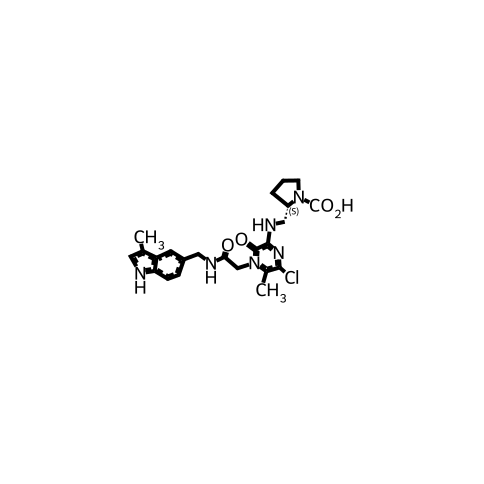 Cc1c[nH]c2ccc(CNC(=O)Cn3c(C)c(Cl)nc(NC[C@@H]4CCCN4C(=O)O)c3=O)cc12